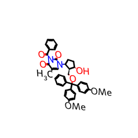 COc1ccc(C(OC[C@@H]2[C@@H](O)CC[C@@H]2n2cc(C)c(=O)n(C(=O)c3ccccc3)c2=O)(c2ccccc2)c2ccc(OC)cc2)cc1